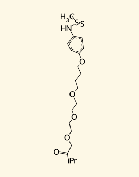 CC(C)C(=O)COCCOCCOCCCCOc1ccc(NS(C)=S)cc1